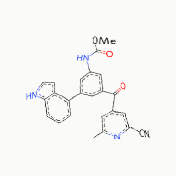 COC(=O)Nc1cc(C(=O)c2cc(C)nc(C#N)c2)cc(-c2cccc3[nH]ccc23)c1